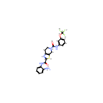 Nc1ccccc1NC(=O)c1nc2c(s1)CN(C(=O)Nc1cccc(OC(F)(F)F)c1)CC2